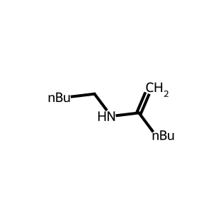 C=C(CCCC)NCCCCC